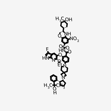 CCOc1nc2[nH]cc(F)c2cc1Oc1cc(N2CCC3(CC2)CN([C@@H]2CCC[C@@H]2c2ccccc2C(C)(C)O)C3)ccc1C(=O)NS(=O)(=O)c1cc2c(c([N+](=O)[O-])c1)N[C@@H]([C@H]1CC[C@](C)(O)CC1)CO2